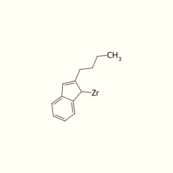 CCCCC1=Cc2ccccc2[CH]1[Zr]